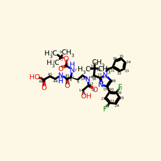 CC(C)(C)OC(=O)N[C@@H](CCN(C(=O)CO)[C@@H](c1nc(-c2cc(F)ccc2F)cn1Cc1ccccc1)C(C)(C)C)C(=O)NCCC(=O)O